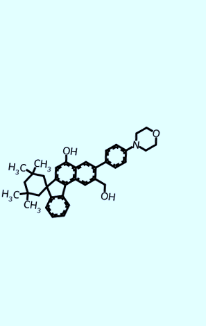 CC1(C)CC(C)(C)CC2(C1)c1ccccc1-c1c2cc(O)c2cc(-c3ccc(N4CCOCC4)cc3)c(CO)cc12